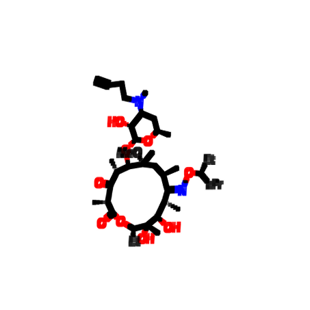 C#CCCN(C)[C@H]1C[C@@H](C)O[C@@H](O[C@@H]2[C@@H](C)C(=O)[C@@H](C)C(=O)O[C@H](CC)[C@@](C)(O)[C@H](O)[C@@H](C)/C(=N/O[C@@H](CC)CCC)[C@H](C)C[C@@]2(C)OC)[C@@H]1O